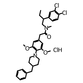 CCC(CN(C)C(=O)Cc1cc(OC)c(N2CCC(Cc3ccccc3)CC2)c(OC)c1)c1ccc(Cl)c(Cl)c1.Cl